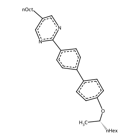 CCCCCCCCc1cnc(-c2ccc(-c3ccc(O[C@@H](C)CCCCCC)cc3)cc2)nc1